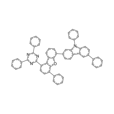 c1ccc(-c2ccc3c(c2)c2ccc(-c4cccc5c4oc4c(-c6ccccc6)ccc(-c6nc(-c7ccccc7)nc(-c7ccccc7)n6)c45)cc2n3-c2ccccc2)cc1